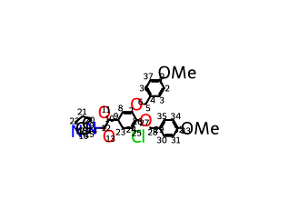 COc1ccc(COC2=CC(C(=O)C(=O)N3CCN4CCC3CC4)CC(Cl)=C2OCc2ccc(OC)cc2)cc1